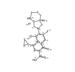 COc1c(N2C[C@H]3CCCN[C@@H]3C2)c(F)cc2c(=O)c(C(=O)O)cn(C3CC3)c12